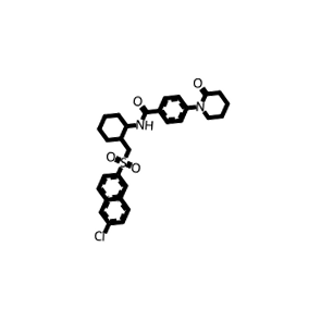 O=C(NC1CCCCC1CS(=O)(=O)c1ccc2cc(Cl)ccc2c1)c1ccc(N2CCCCC2=O)cc1